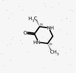 C[C@@H]1NC[C@H](C)NC1=O